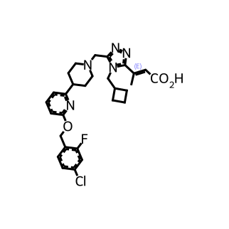 C/C(=C\C(=O)O)c1nnc(CN2CCC(c3cccc(OCc4ccc(Cl)cc4F)n3)CC2)n1CC1CCC1